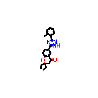 CCC1(CC)CC(=O)c2cc(-c3nc(-c4ccccc4C)n[nH]3)ccc2O1